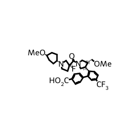 COC[C@H]1CN(C(=O)[C@@]2(F)CCN([C@H]3CC[C@H](OC)CC3)C2)C[C@@H]1c1ccc(C(F)(F)F)cc1-c1ccc(C(=O)O)cc1